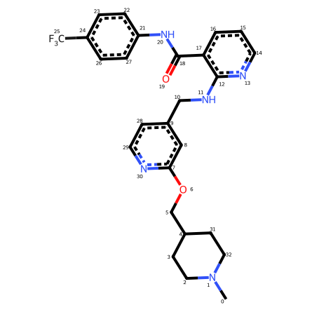 CN1CCC(COc2cc(CNc3ncccc3C(=O)Nc3ccc(C(F)(F)F)cc3)ccn2)CC1